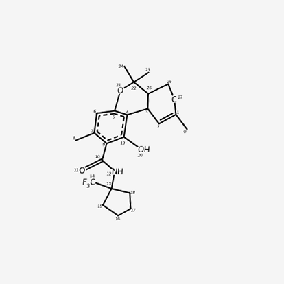 CC1=CC2c3c(cc(C)c(C(=O)NC4(C(F)(F)F)CCCC4)c3O)OC(C)(C)C2CC1